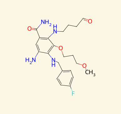 COCCCOc1c(NCc2ccc(F)cc2)c(N)cc(C(N)=O)c1NCCCC=O